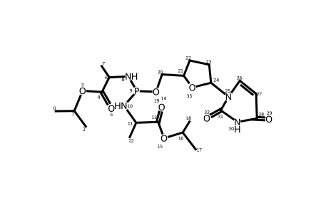 CC(C)OC(=O)C(C)NP(NC(C)C(=O)OC(C)C)OCC1CCC(n2ccc(=O)[nH]c2=O)O1